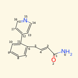 NC(=O)/C=C/Cc1ccccc1-c1ccncc1